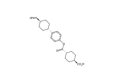 CCCCC[C@H]1CC[C@H](c2ccc(OC(=O)[C@H]3CC[C@H](C(=O)O)CC3)cc2)CC1